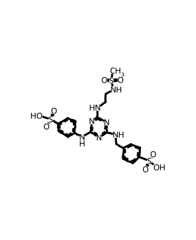 CS(=O)(=O)NCCNc1nc(NCc2ccc(S(=O)(=O)O)cc2)nc(Nc2ccc(S(=O)(=O)O)cc2)n1